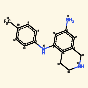 Nc1cc2c(c(Nc3ccc(C(F)(F)F)cc3)c1)CCNC2